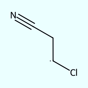 N#CC[CH]Cl